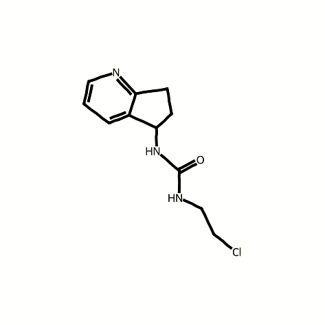 O=C(NCCCl)NC1CCc2ncccc21